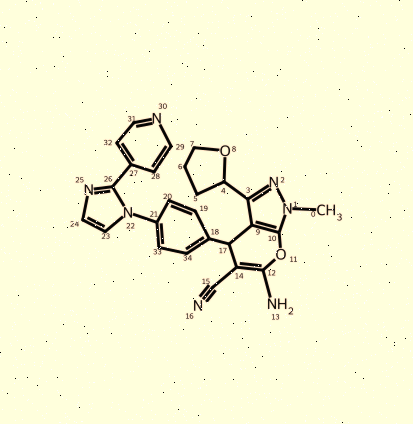 Cn1nc(C2CCCO2)c2c1OC(N)=C(C#N)C2c1ccc(-n2ccnc2-c2ccncc2)cc1